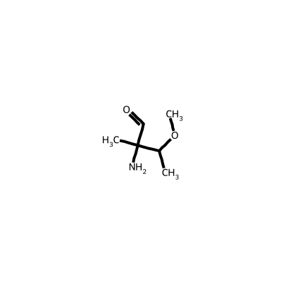 COC(C)C(C)(N)C=O